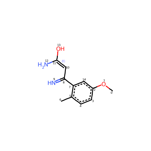 COc1ccc(C)c(C(=N)/C=C(\N)O)c1